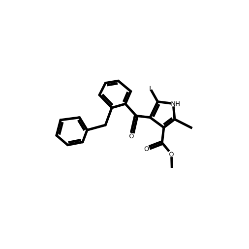 COC(=O)c1c(C)[nH]c(I)c1C(=O)c1ccccc1Cc1ccccc1